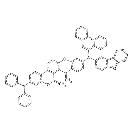 C=C1c2ccc(N(c3ccc4oc5ccccc5c4c3)c3cc4ccccc4c4ccccc34)cc2Oc2ccc3c(c21)C(=C)Oc1cc(N(c2ccccc2)c2ccccc2)ccc1-3